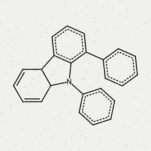 C1=CC2c3cccc(-c4ccccc4)c3N(c3ccccc3)C2C=C1